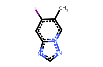 Cc1cn2ncnc2cc1I